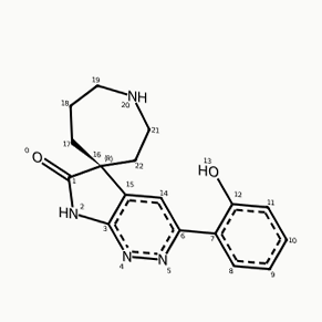 O=C1Nc2nnc(-c3ccccc3O)cc2[C@]12CCCNCC2